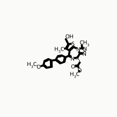 COC(=O)C[C@@H]1N=C(c2ccc(-c3ccc(OC)cc3)cc2)c2c(sc(CO)c2C)-n2c(C)nnc21